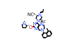 CC=CN1CCN(c2nc(OC[C@@H]3CCCN3C)nc3c2N(C(C)=O)CCN(c2cccc4cccc(C)c24)C3)C[C@@H]1CC#N